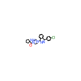 NC1(C(=O)N2CCN(c3nnc(-c4ccc(Cl)cc4)c4ccccc34)CC2)CCCC1